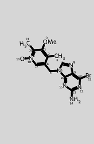 COc1c(C)c(Cn2cnc3c(Br)nc(N)nc32)c[n+]([O-])c1C